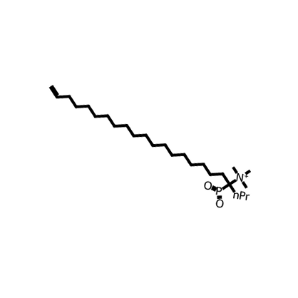 C=CCCCCCCCCCCCCCCCCCC(CCC)(P(=O)=O)[N+](C)(C)C